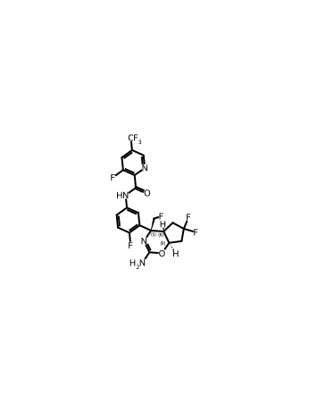 NC1=N[C@](CF)(c2cc(NC(=O)c3ncc(C(F)(F)F)cc3F)ccc2F)[C@H]2CC(F)(F)C[C@H]2O1